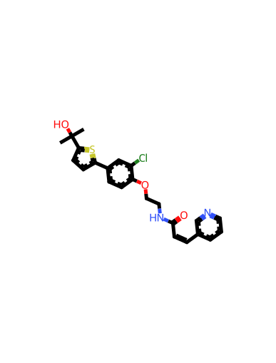 CC(C)(O)c1ccc(-c2ccc(OCCNC(=O)/C=C\c3cccnc3)c(Cl)c2)s1